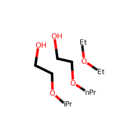 CC(C)OCCO.CCCOCCO.CCOCC